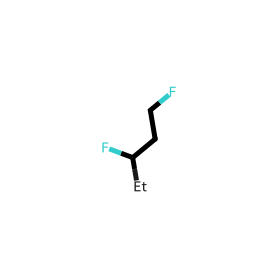 [CH2]CC(F)CCF